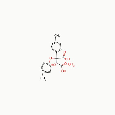 Cc1ccc(OC(C(=O)O)(c2ccc(C)cc2)C(O)C(=O)O)cc1.O